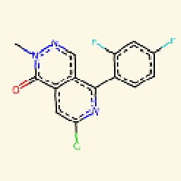 Cn1ncc2c(-c3ccc(F)cc3F)nc(Cl)cc2c1=O